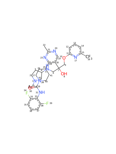 CC(=O)N1CCC(NCC(O)(COc2cccc(C(F)(F)F)n2)c2cnc(C)nc2C2CCN(C(=O)Nc3c(F)cccc3F)CC2)C1